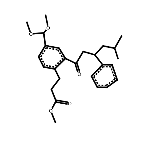 COC(=O)CCc1ccc(C(OC)OC)cc1C(=O)CC(CC(C)C)c1ccccc1